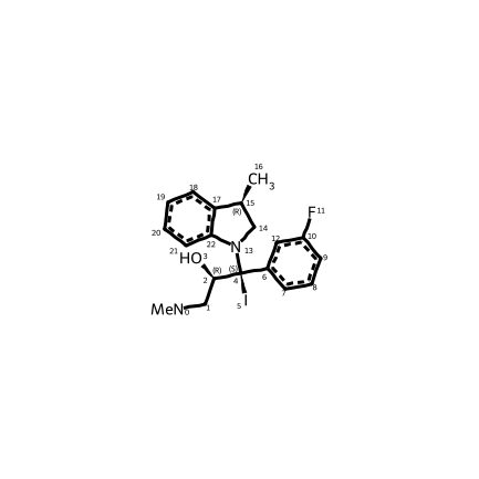 CNC[C@@H](O)[C@@](I)(c1cccc(F)c1)N1C[C@H](C)c2ccccc21